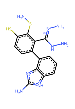 N/N=C(\NN)c1c(-c2cccc3[nH]c(N)nc23)ccc(S)c1SN